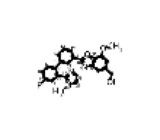 COc1cc(CO)cc2nc(-c3cccc(-c4ccc(F)cc4-c4nncn4C)c3)oc12